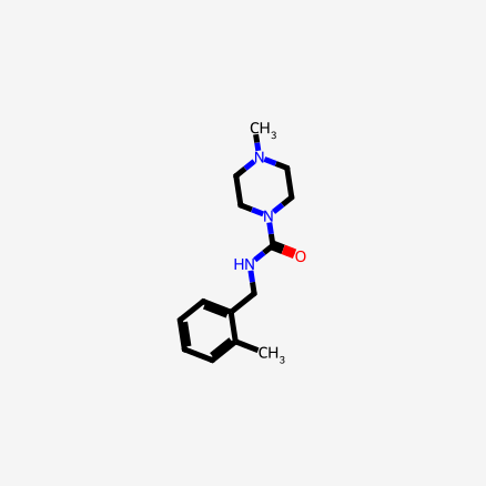 Cc1ccccc1CNC(=O)N1CCN(C)CC1